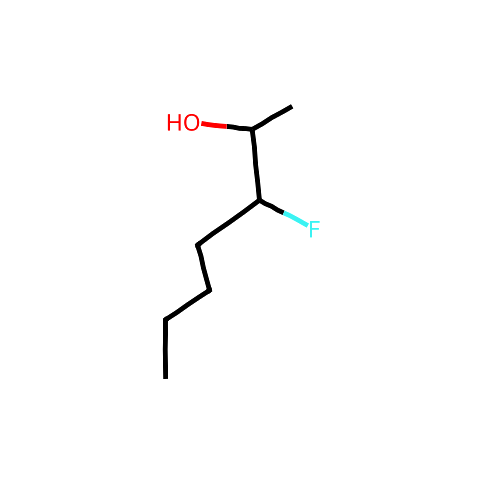 CCCCC(F)C(C)O